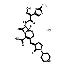 Cl.Nc1nc(C(=NO)C(=O)N[C@@H]2C(=O)N3C(C(=O)O)=C(C=C4CCN(C5CCNCC5)C4=O)CS[C@H]23)cs1